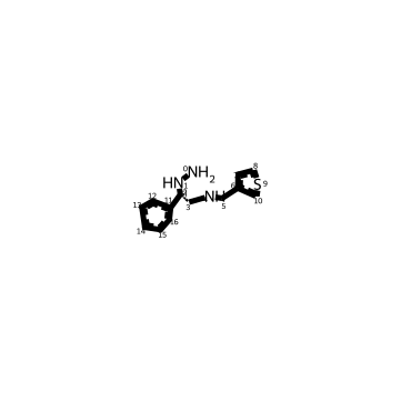 NN[C@H](CNCc1ccsc1)c1ccccc1